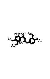 CCCCCCCC(=CC(CCCC)Cc1ccc(CC(C)=O)c(CC(C)=O)c1)c1ccc(CC(C)=O)c(CC(C)=O)c1